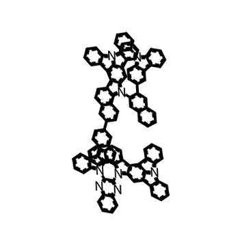 c1ccc(-n2c3ccccc3c3cc(-c4cc5ccccc5cc4-n4c5cc6c7ccccc7n7c8ccccc8c(c5c5ccc8cc(-c9ccc%10c(ccc%11c%10c%10ccccc%10n%11-c%10nc%11ccccc%11nc%10-n%10c%11cc%12c%13ccccc%13n%13c%14ccccc%14c(c%11c%11ccc%14ccccc%14c%11%10)c%12%13)c9)ccc8c54)c67)ccc32)cc1